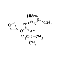 Cc1c[nH]c2nc(OC3COC3)c(C(C)(C)C)cc12